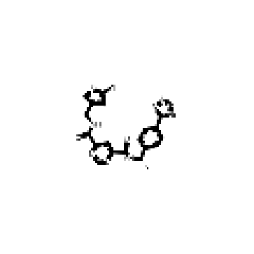 C[C@H](NC(=O)c1cc(C(=O)NCc2csc(Cl)c2)ncn1)c1ccc(-c2nnn[nH]2)cc1